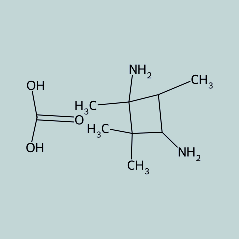 CC1C(N)C(C)(C)C1(C)N.O=C(O)O